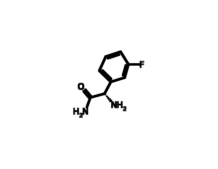 NC(=O)[C@@H](N)c1cccc(F)c1